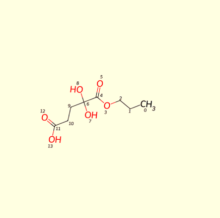 CCCOC(=O)C(O)(O)CCC(=O)O